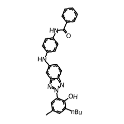 CCCCc1cc(C)cc(-n2nc3ccc(Nc4ccc(NC(=O)c5ccccc5)cc4)cc3n2)c1O